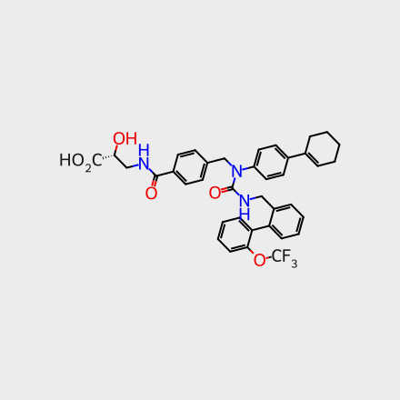 O=C(NC[C@@H](O)C(=O)O)c1ccc(CN(C(=O)NCc2ccccc2-c2ccccc2OC(F)(F)F)c2ccc(C3=CCCCC3)cc2)cc1